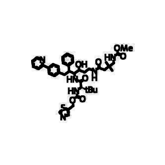 COC(=O)NCC(C)(C)CC(=O)NCCC(O)C(NC(=O)[C@@H](NC(=O)OCc1cncs1)C(C)(C)C)C(Cc1ccc(-c2ccccn2)cc1)c1ccccc1